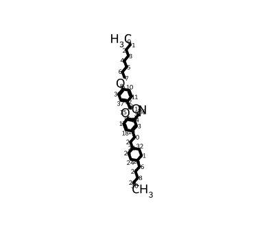 CCCCCCCCOc1ccc(C(=O)Oc2ccc(CCC3CCC(CCCCC)CC3)cc2C#N)cc1